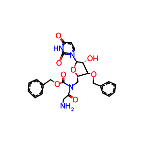 NCC(=O)N(C[C@H]1O[C@@H](n2ccc(=O)[nH]c2=O)[C@H](O)[C@@H]1OCc1ccccc1)C(=O)OCc1ccccc1